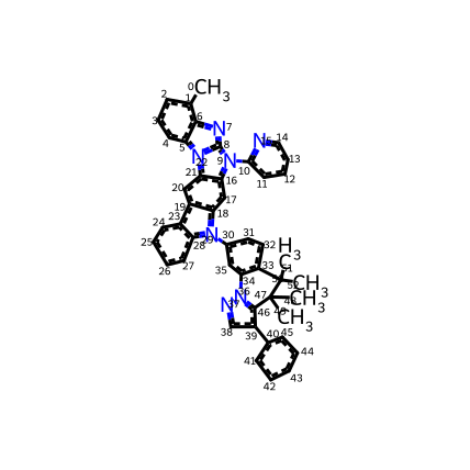 Cc1cccc2c1nc1n(-c3ccccn3)c3cc4c(cc3n21)c1ccccc1n4-c1ccc2c(c1)-n1ncc(-c3ccccc3)c1C(C)(C)C2(C)C